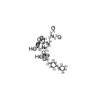 O=CCN(CC=O)CCN(CC=O)CC(COP(=O)(O)OCCc1ccc(-c2ccccc2)cc1)N(CC(=O)O)CC(=O)O